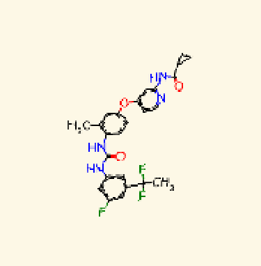 Cc1cc(Oc2ccnc(NC(=O)C3CC3)c2)ccc1NC(=O)Nc1cc(F)cc(C(C)(F)F)c1